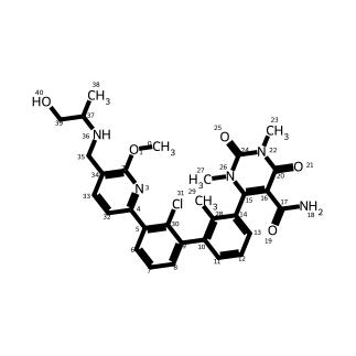 COc1nc(-c2cccc(-c3cccc(-c4c(C(N)=O)c(=O)n(C)c(=O)n4C)c3C)c2Cl)ccc1CNC(C)CO